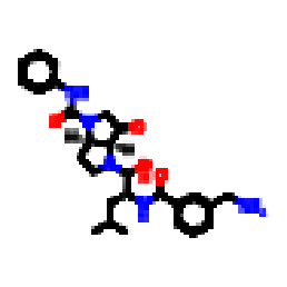 CC(C)C[C@H](NC(=O)c1cccc(CN)c1)[C@H](O)N1CC[C@@H]2[C@H]1C(=O)CN2C(=O)Nc1ccccc1